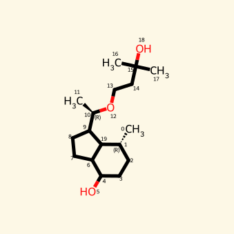 C[C@@H]1CCC(O)C2CCC([C@@H](C)OCCC(C)(C)O)C21